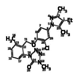 CCc1c(C)nn(-c2ccc(OCc3c(C)cccc3-n3nnn(C)c3=O)c(Cl)c2)c1C